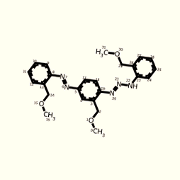 COCc1cc(/N=N/c2ccccc2COC)ccc1/N=N/Nc1ccccc1COC